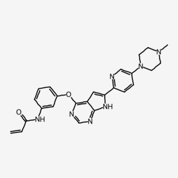 C=CC(=O)Nc1cccc(Oc2ncnc3[nH]c(-c4ccc(N5CCN(C)CC5)cn4)cc23)c1